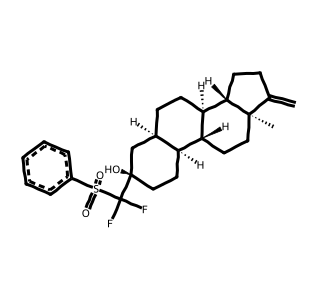 C=C1CC[C@H]2[C@@H]3CC[C@@H]4C[C@@](O)(C(F)(F)S(=O)(=O)c5ccccc5)CC[C@@H]4[C@H]3CC[C@]12C